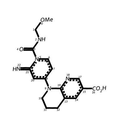 COCNC(=O)n1ccc(N2CCCc3cc(C(=O)O)cnc32)cc1=N